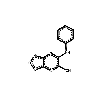 Oc1nc2nonc2nc1Nc1ccccc1